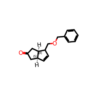 O=C1C[C@@H]2C=CC(COCc3ccccc3)[C@@H]2C1